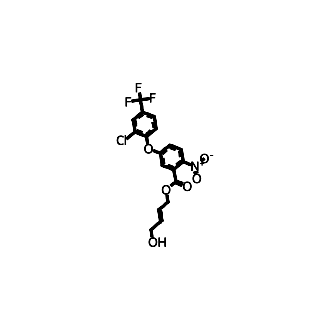 O=C(OCC=CCO)c1cc(Oc2ccc(C(F)(F)F)cc2Cl)ccc1[N+](=O)[O-]